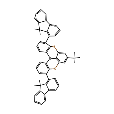 CC(C)(C)c1cc2c3c(c1)Sc1c(cccc1-c1cccc4c1C(C)(C)c1ccccc1-4)B3c1cccc(-c3cccc4c3C(C)(C)c3ccccc3-4)c1S2